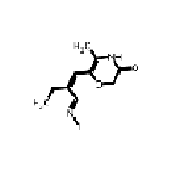 CCC(=C/C1=C(C)NC(=O)CO1)/C=N/I